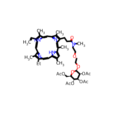 C=Cc1c(C)c2cc3nc(c(C)c4cc(C)c(cc5nc(cc1[nH]2)C(C)=C5CC)[nH]4)C(CCC(=O)N(C)CCOCCO[C@@H]1O[C@H](COC(C)=O)[C@@H](OC(C)=O)[C@H](OC(C)=O)[C@H]1OC(C)=O)=C3C